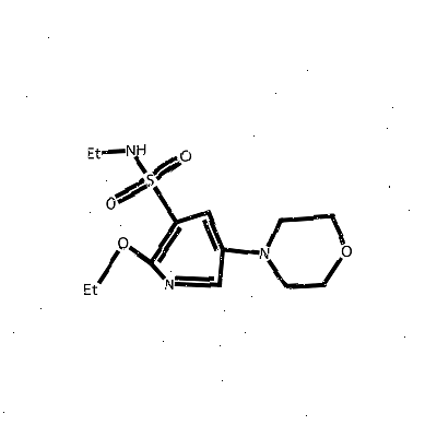 CCNS(=O)(=O)c1cc(N2CCOCC2)cnc1OCC